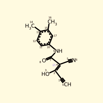 C#C/C(O)=C(\C#N)C(=O)Nc1ccc(C)c(C)c1